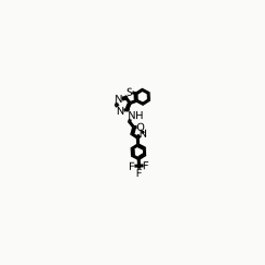 FC(F)(F)c1ccc(-c2cc(CNc3ncnc4sc5c(c34)CCCC5)on2)cc1